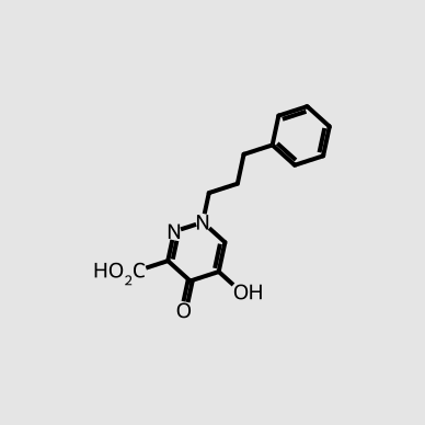 O=C(O)c1nn(CCCc2ccccc2)cc(O)c1=O